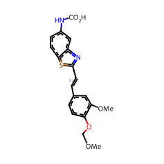 COCOc1ccc(/C=C/c2nc3cc(NC(=O)O)ccc3s2)cc1OC